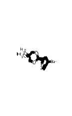 CC1(C)COC(c2cc(Br)cs2)OC1